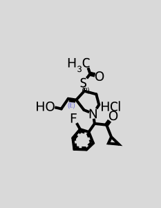 CC(=O)S[C@@H]1CCN(C(C(=O)C2CC2)c2ccccc2F)C/C1=C\CO.Cl